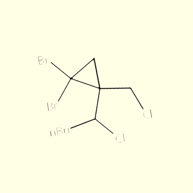 CCCCC(Cl)C1(CCl)CC1(Br)Br